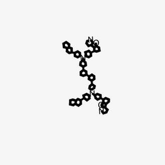 c1cc(-c2ccc(N(c3ccc(-c4ccc5ccccc5c4)cc3)c3ccc(-c4cccc5c4oc4ncccc45)cc3)cc2)cc(-c2cccc(-c3ccc(N(c4ccc(-c5ccc6ccccc6c5)cc4)c4ccc(-c5cccc6oc7ncccc7c56)cc4)cc3)c2)c1